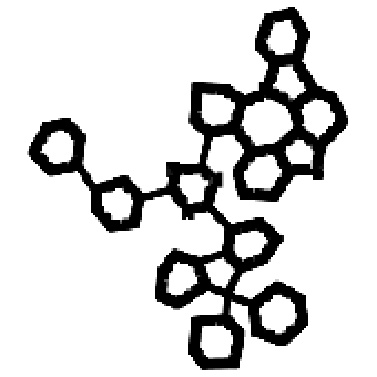 c1ccc(-c2cccc(-c3nc(-c4cccc5c4-c4ccccc4C5(c4ccccc4)c4ccccc4)nc(-c4cccc5c4c4cccc6sc7ccc8c9ccccc9n5c8c7c64)n3)c2)cc1